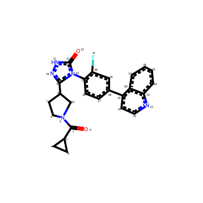 O=C(C1CC1)N1CCC(c2n[nH]c(=O)n2-c2ccc(-c3ccnc4ccccc34)cc2F)C1